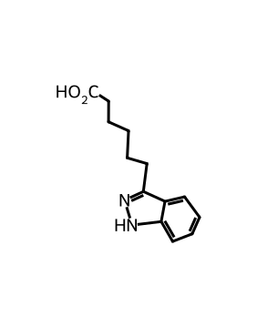 O=C(O)CCCCCc1n[nH]c2ccccc12